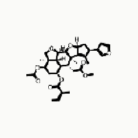 C/C=C(/C)C(=O)O[C@H]1C[C@@H](OC(C)=O)[C@@]2(C)CO[C@H]3[C@H]4O[C@@H]5C[C@@H](c6ccoc6)C(C)=C5[C@@]4(C)[C@H](CC(=O)OC)[C@]1(C)[C@@H]32